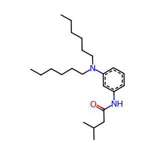 CCCCCCN(CCCCCC)c1cccc(NC(=O)CC(C)C)c1